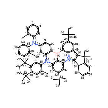 Cc1ccccc1N(c1ccc2c(c1)N(c1cc3c(cc1C)C(C)(C)CCC3(C)C)c1cc(C(C)(C)C)cc3c1B2c1cc(C(C)(C)C)cc2c4c(n-3c12)C1CC=CC=C1C4(C)C)c1ccccc1C